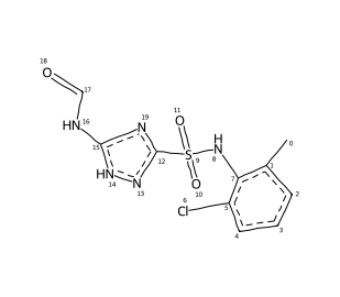 Cc1cccc(Cl)c1NS(=O)(=O)c1n[nH]c(NC=O)n1